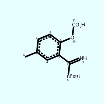 CCCCCC(=N)c1cc(C)ccc1OC(=O)O